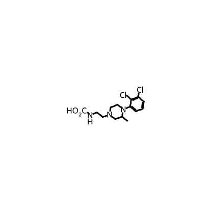 CC1CN(CCNC(=O)O)CCN1c1cccc(Cl)c1Cl